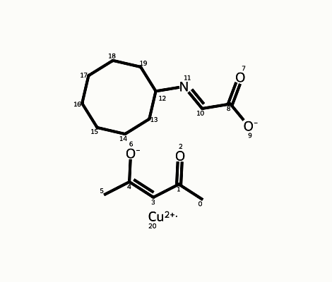 CC(=O)/C=C(/C)[O-].O=C([O-])/C=N/C1CCCCCCC1.[Cu+2]